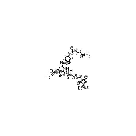 BC(=O)CCN(C)C(=O)OCc1ccc(NC(=O)[C@H](CCCNC(N)=O)NC(=O)[C@@H](NC(=S)NCCCCN2C(=O)CC(C(CC)CC)C2=O)C(C)C)cc1